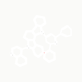 C1=CC(C2=NC(c3ccccc3)CC(n3c4ccccc4c4ccc5c(c6ccccc6n5-c5ccnc6ccccc56)c43)=C2)=CCC1